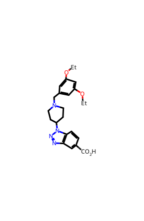 CCOc1cc(CN2CCC(n3nnc4cc(C(=O)O)ccc43)CC2)cc(OCC)c1